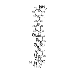 C[C@@](N)(CO)C(=O)N1CCN(C(=O)Nc2ccn(-c3ccc(CCN4CCCC(N)CC4)cc3)c(=O)n2)CC1